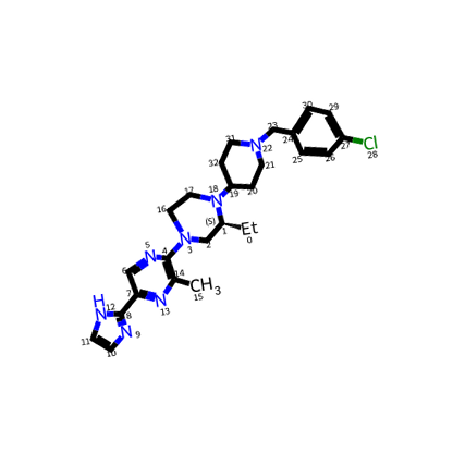 CC[C@H]1CN(c2ncc(-c3ncc[nH]3)nc2C)CCN1C1CCN(Cc2ccc(Cl)cc2)CC1